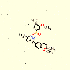 COc1cc(S(=O)(=O)CN(Cc2ccc3c(c2)C=CC(C)(C)O3)CC(C)C)ccc1C